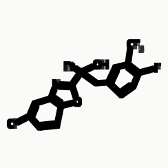 CCC(O)(Cc1ccc(F)c(C(F)(F)F)c1)c1nc2cc(Cl)ccc2o1